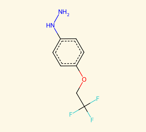 NNc1ccc(OCC(F)(F)F)cc1